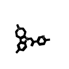 C=C(Cn1c2c(c3cc(C)ccc31)CCN(C)CC2)c1ccc(C)nc1